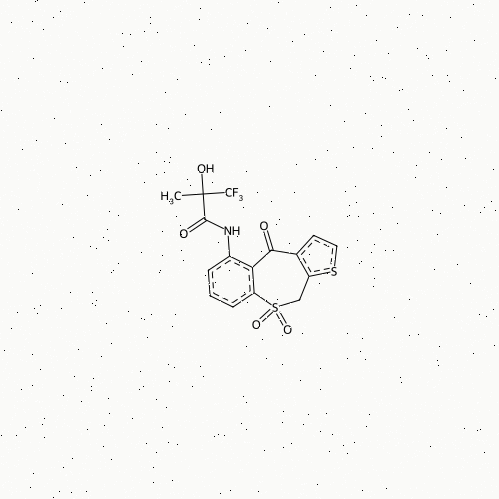 CC(O)(C(=O)Nc1cccc2c1C(=O)c1ccsc1CS2(=O)=O)C(F)(F)F